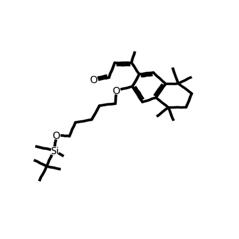 C/C(=C/C=O)c1cc2c(cc1OCCCCCO[Si](C)(C)C(C)(C)C)C(C)(C)CCC2(C)C